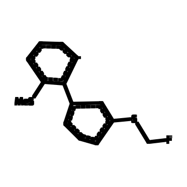 CSc1ccc[c]c1-c1cccc(SCF)c1